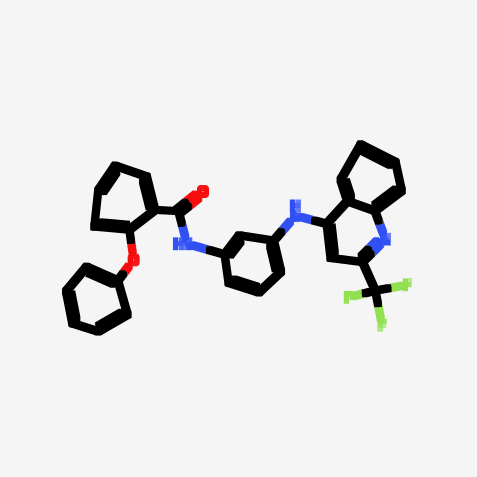 O=C(Nc1cccc(Nc2cc(C(F)(F)F)nc3ccccc23)c1)c1ccccc1Oc1ccccc1